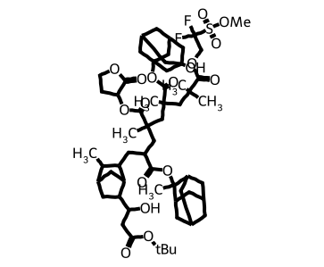 COS(=O)(=O)C(F)(F)COC(=O)C(C)(C)CC(C)(CC(C)(CC(CC1C(C)C2CC(C(O)CC(=O)OC(C)(C)C)C1C2)C(=O)OC1(C)C2CC3CC(C2)CC1C3)C(=O)OC1CCOC1=O)C(=O)OC12CC3CC(CC(O)(C3)C1)C2